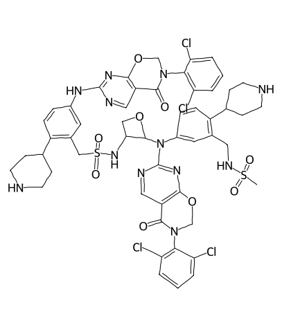 CS(=O)(=O)NCc1cc(N(c2ncc3c(n2)OCN(c2c(Cl)cccc2Cl)C3=O)C2OCC2NS(=O)(=O)Cc2cc(Nc3ncc4c(n3)OCN(c3c(Cl)cccc3Cl)C4=O)ccc2C2CCNCC2)ccc1C1CCNCC1